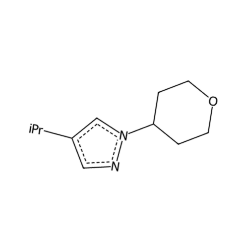 CC(C)c1cnn(C2CCOCC2)c1